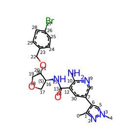 Cc1nn(C)cc1-c1cnc(N)c(C(=O)N[C@H]2COC[C@@H]2OCc2ccc(Br)cc2)c1